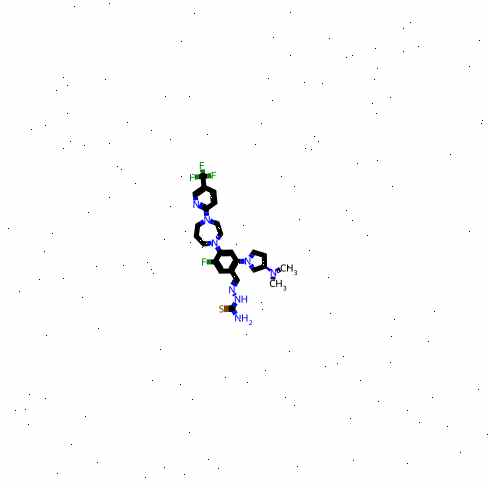 CN(C)[C@@H]1CCN(c2cc(N3CCCN(c4ccc(C(F)(F)F)cn4)CC3)c(F)cc2C=NNC(N)=S)C1